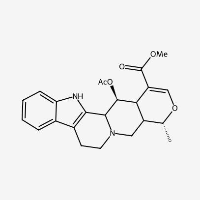 COC(=O)C1=CO[C@H](C)C2CN3CCc4c([nH]c5ccccc45)C3[C@@H](OC(C)=O)C12